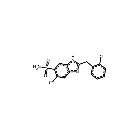 NS(=O)(=O)c1cc2[nH]c(Cc3ccccc3Cl)nc2cc1Cl